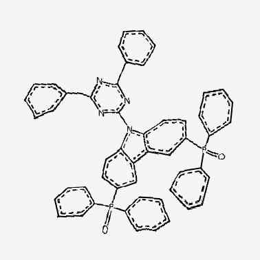 O=P(c1ccccc1)(c1ccccc1)c1ccc2c(c1)c1cc(P(=O)(c3ccccc3)c3ccccc3)ccc1n2-c1nc(-c2ccccc2)nc(-c2ccccc2)n1